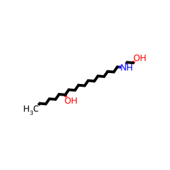 CCCCCCC(O)CCCCCCCCCCCNCCO